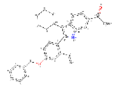 C=Cc1cc(OCc2ccccc2)ccc1-c1[nH]c2cc(C(=O)OC)ccc2c1C1CCCCC1